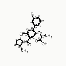 C[C@H](Oc1cc(C(=O)N2CCC[C@@H]2C)c(Cl)cc1-c1cccc(F)c1)C(=O)O